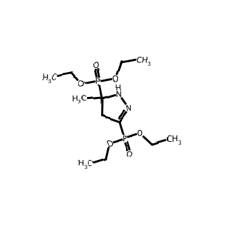 CCOP(=O)(OCC)C1=NNC(C)(P(=O)(OCC)OCC)C1